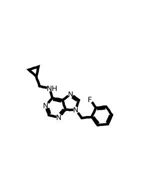 Fc1ccccc1Cn1cnc2c(NCC3CC3)ncnc21